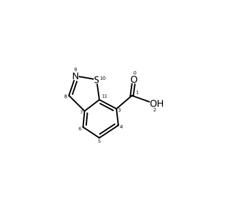 O=C(O)c1cccc2cnsc12